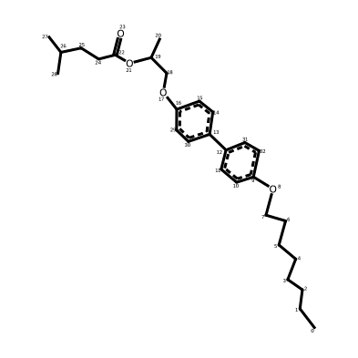 CCCCCCCCOc1ccc(-c2ccc(OCC(C)OC(=O)CCC(C)C)cc2)cc1